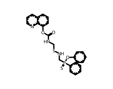 O=C(NCSNCP(=S)(Oc1ccccc1)c1ccccc1)Oc1cccc2cccnc12